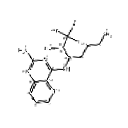 CCCC[C@@H](Nc1nc(N)nc2cccnc12)[C@@H](O)C(F)(F)F